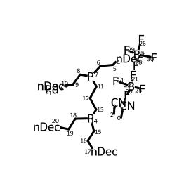 CC#N.CC#N.CCCCCCCCCCCCP(CCCCCCCCCCCC)CCCP(CCCCCCCCCCCC)CCCCCCCCCCCC.F[B-](F)(F)F.F[B-](F)(F)F.[Pd+2]